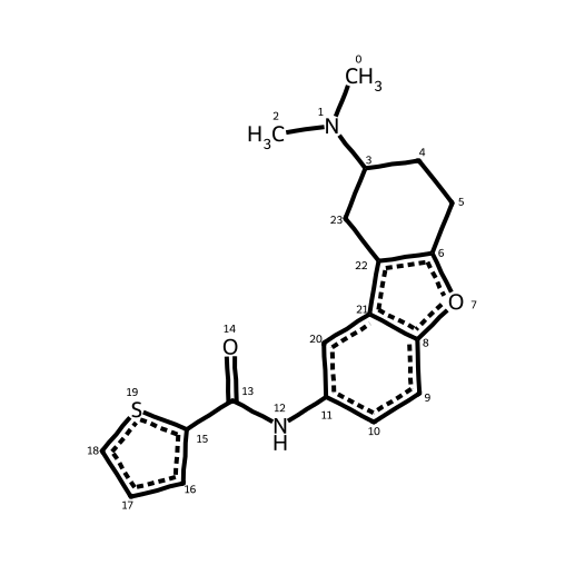 CN(C)C1CCc2oc3ccc(NC(=O)c4cccs4)cc3c2C1